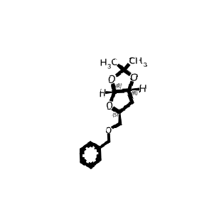 CC1(C)O[C@H]2O[C@H](COCc3ccccc3)C[C@H]2O1